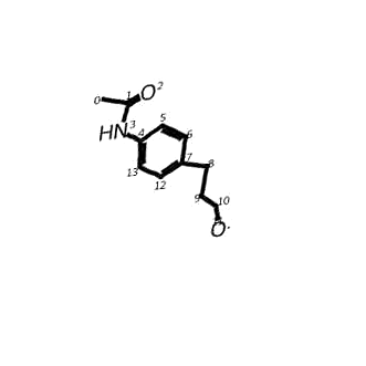 CC(=O)Nc1ccc(CCC[O])cc1